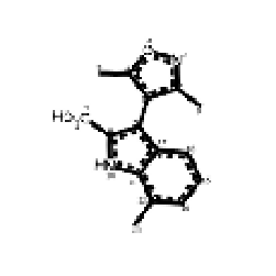 Cc1noc(C)c1-c1c(C(=O)O)[nH]c2c(C)cccc12